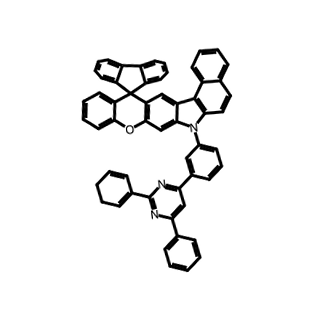 C1=CC(c2nc(-c3ccccc3)cc(-c3cccc(-n4c5cc6c(cc5c5c7ccccc7ccc54)C4(c5ccccc5O6)c5ccccc5-c5ccccc54)c3)n2)=CCC1